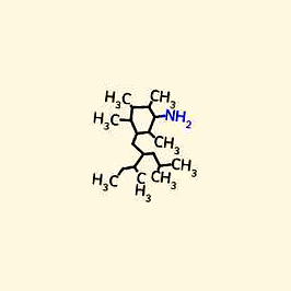 CCC(C)C(CC(C)C)CC1C(C)C(C)C(C)C(N)C1C